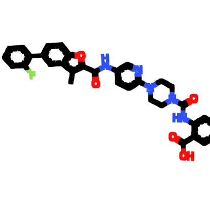 Cc1c(C(=O)Nc2ccc(N3CCN(C(=O)Nc4ccccc4C(=O)O)CC3)nc2)oc2ccc(-c3ccccc3F)cc12